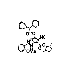 [C-]#[N+]c1c(C(=O)OC2C(C)CCC2C)c2[nH]c(-c3ccccc3OC)nn2c1OC(=O)N(c1ccccc1)c1ccccc1